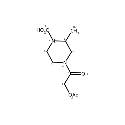 CC(=O)OCC(=O)N1CCN(C(=O)O)C(C)C1